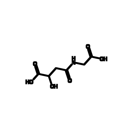 O=C(O)CNC(=O)CC(O)C(=O)O